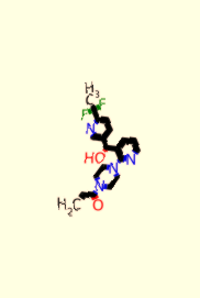 C=CC(=O)N1CCN(c2ncccc2C(O)c2ccc(C(C)(F)F)nc2)CC1